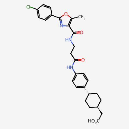 O=C(O)C[C@H]1CC[C@H](c2ccc(NC(=O)CCNC(=O)c3nc(-c4ccc(Cl)cc4)oc3C(F)(F)F)cc2)CC1